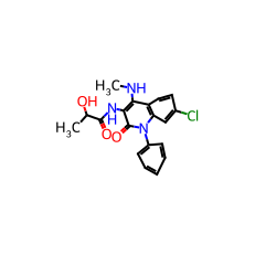 CNc1c(NC(=O)C(C)O)c(=O)n(-c2ccccc2)c2cc(Cl)ccc12